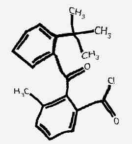 Cc1cccc(C(=O)Cl)c1C(=O)c1ccccc1C(C)(C)C